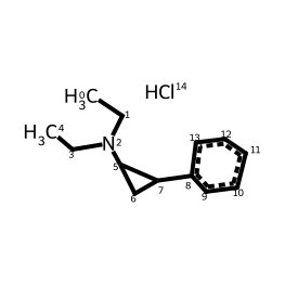 CCN(CC)C1CC1c1ccccc1.Cl